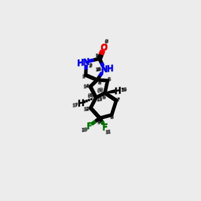 O=C1NCC2(C[C@@H]3CCC(F)(F)C[C@H]3C2)N1